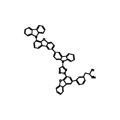 CC(C)C(Cc1cccc(-c2cc(-n3ncc(-n4c5ccccc5c5cc(-c6ccc7oc8c(-n9c%10ccccc%10c%10ccccc%109)cccc8c7c6)ccc54)n3)c3oc4ccccc4c3c2)c1)C(C)(C)C